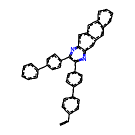 C=Cc1ccc(-c2ccc(-c3nc4cc5cc6ccccc6cc5cc4nc3-c3ccc(-c4ccccc4)cc3)cc2)cc1